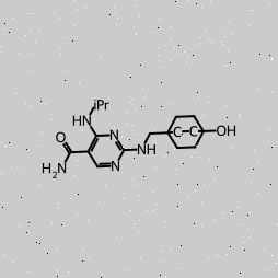 CC(C)Nc1nc(NCC23CCC(O)(CC2)CC3)ncc1C(N)=O